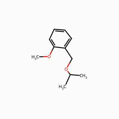 COc1ccccc1COC(C)C